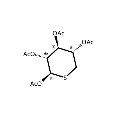 CC(=O)O[C@@H]1[C@@H](OC(C)=O)[C@H](OC(C)=O)CS[C@H]1OC(C)=O